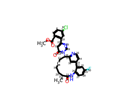 COC(=O)c1ccc(Cl)cc1-c1cc(=O)n([C@H]2CCCC[C@@H](C)C(=O)Nc3ccc(F)cc3-c3ccnc2c3)cn1